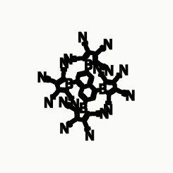 N#CC1=C(C#N)C(C#N)=C(C#N)B1c1cc(B2C(C#N)=C(C#N)C(C#N)=C2C#N)c2cc(B3C(C#N)=C(C#N)C(C#N)=C3C#N)cc(B3C(C#N)=C(C#N)C(C#N)=C3C#N)c2c1